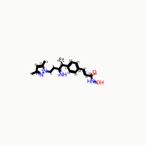 CC[C@H](C(=N)CCn1nc(C)cc1C)c1ccc(/C=C/C(=O)NO)cc1